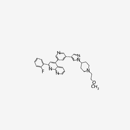 COCCN1CCC(n2cc(-c3cncc(-c4cc(-c5ccccc5F)nc5ncccc45)c3)cn2)CC1